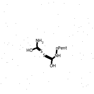 CCCCCNC(O)=S.NC(O)=S